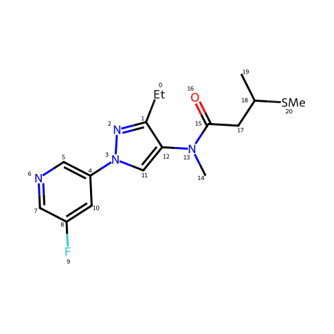 CCc1nn(-c2cncc(F)c2)cc1N(C)C(=O)CC(C)SC